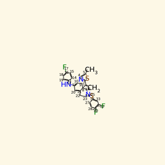 C=C(c1ncc(C)s1)C12CC=C(Nc3ccc(F)cc3)C=C1CCN(Sc1ccc(F)c(F)c1)C2